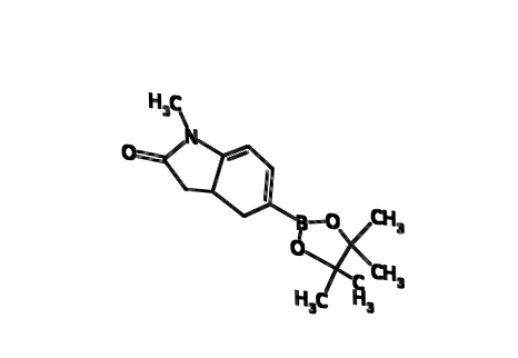 CN1C(=O)CC2CC(B3OC(C)(C)C(C)(C)O3)=CC=C21